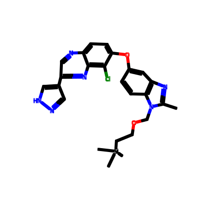 Cc1nc2cc(Oc3ccc4ncc(-c5cn[nH]c5)nc4c3Cl)ccc2n1COCC[Si](C)(C)C